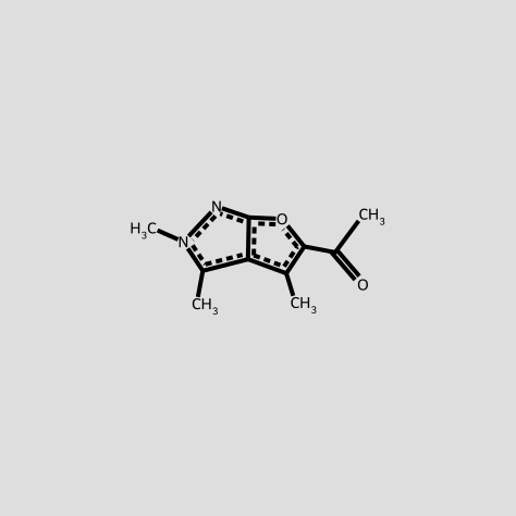 CC(=O)c1oc2nn(C)c(C)c2c1C